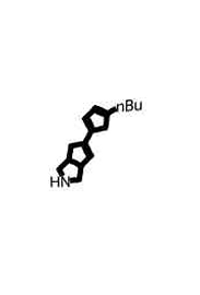 CCCCC1=CC=C(C2=CC3CNCC3C2)C1